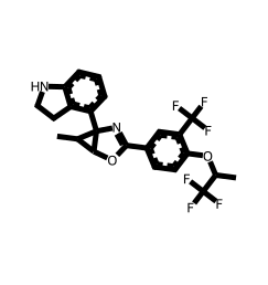 CC(Oc1ccc(C2=NC3(c4cccc5c4CCN5)C(C)C3O2)cc1C(F)(F)F)C(F)(F)F